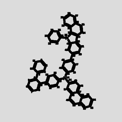 c1ccc(-c2ccccc2-c2ccc(N(c3ccc(-c4ccc5c6ccc7ccccc7c6n(-c6ccccc6)c5c4)cc3)c3ccc4c(ccc5ccccc54)c3)cc2)cc1